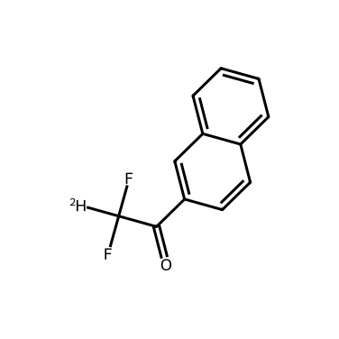 [2H]C(F)(F)C(=O)c1ccc2ccccc2c1